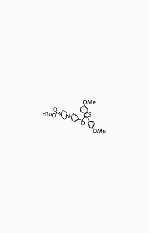 COc1ccc(-c2sc3cc(OC)ccc3c2C(=O)c2ccc(N3CCN(C(=O)OC(C)(C)C)CC3)cc2)cc1